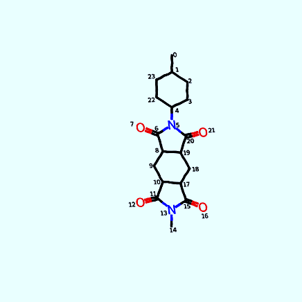 CC1CCC(N2C(=O)C3CC4C(=O)N(C)C(=O)C4CC3C2=O)CC1